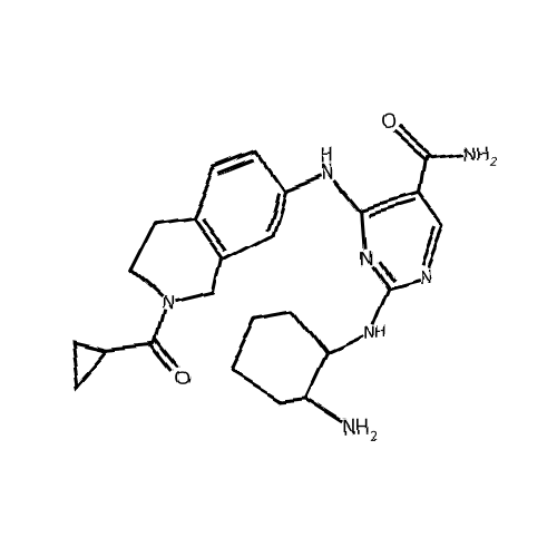 NC(=O)c1cnc(NC2CCCCC2N)nc1Nc1ccc2c(c1)CN(C(=O)C1CC1)CC2